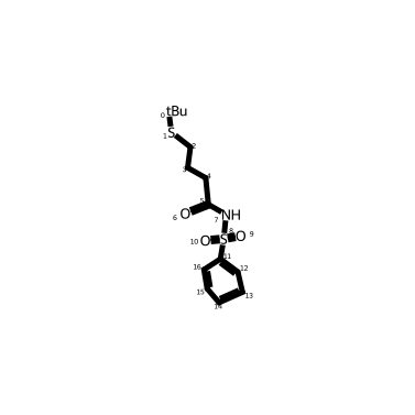 CC(C)(C)SCCCC(=O)NS(=O)(=O)c1ccccc1